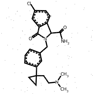 CN(C)CCC1(c2cccc(CN3C(=O)c4cc(Cl)c[c]c4C3C(N)=O)c2)CC1